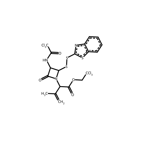 C=C(C)C(C(=O)OCC(Cl)(Cl)Cl)N1C(=O)C(NC(=O)C(Cl)(Cl)Cl)C1SSc1nc2ccccc2s1